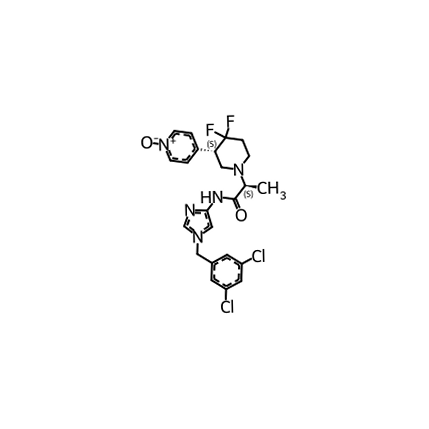 C[C@@H](C(=O)Nc1cn(Cc2cc(Cl)cc(Cl)c2)cn1)N1CCC(F)(F)[C@@H](c2cc[n+]([O-])cc2)C1